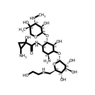 CN[C@@H]1[C@@H](O)[C@@H](O[C@H]2[C@H](NC(=O)C3(O)CC3N)C[C@H](N)C(O[C@H]3O[C@H](CNCCO)[C@@H](O)[C@H](O)[C@H]3O)[C@@H]2O)OC[C@]1(C)O